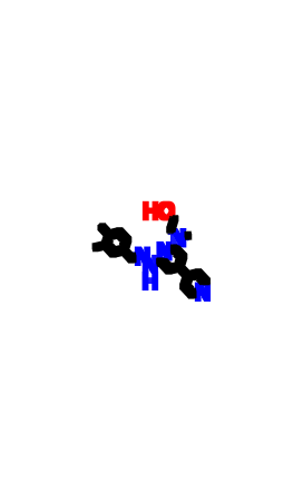 Cc1ccc(/C=N/Nc2cc(-c3ccncc3)cc(N(C)CCO)n2)cc1C